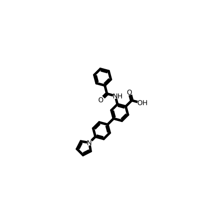 O=C(Nc1cc(-c2ccc(-n3cccc3)cc2)ccc1C(=O)O)c1ccccc1